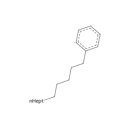 CCCCCCCCCCCCc1[c]cccc1